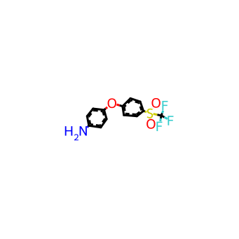 Nc1ccc(Oc2ccc(S(=O)(=O)C(F)(F)F)cc2)cc1